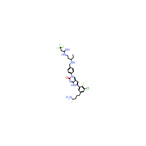 CCC(CCNC(=N)CC(F)(F)F)NCc1ccc(-n2cc3cc(-c4cc(CCC[C@H](C)N)cc(Cl)c4F)[nH]c3nc2=O)cc1